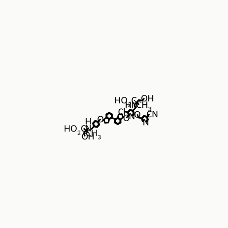 CC(CO)(NCc1ccc(O[C@H]2CCc3c(-c4cccc5c4CC[C@@H]5Oc4nc(OCc5cncc(C#N)c5)c(CN[C@@](C)(CCO)C(=O)O)cc4Cl)cccc32)cc1)C(=O)O